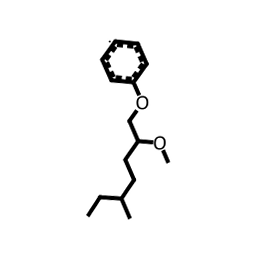 CCC(C)CCC(COc1cc[c]cc1)OC